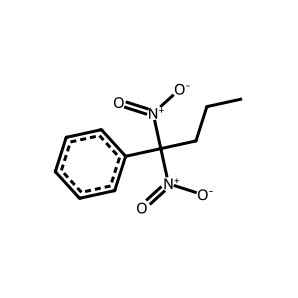 CCCC(c1ccccc1)([N+](=O)[O-])[N+](=O)[O-]